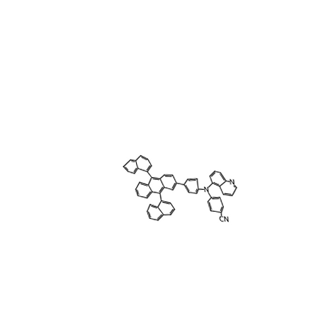 N#Cc1ccc(N(c2ccc(-c3ccc4c(-c5cccc6ccccc56)c5ccccc5c(-c5cccc6ccccc56)c4c3)cc2)c2cccc3ncccc23)cc1